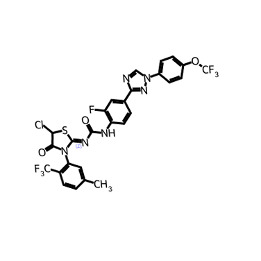 Cc1ccc(C(F)(F)F)c(N2C(=O)C(Cl)S/C2=N\C(=O)Nc2ccc(-c3ncn(-c4ccc(OC(F)(F)F)cc4)n3)cc2F)c1